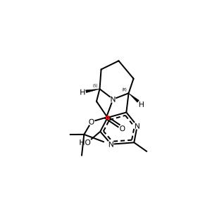 Cc1nc(O)c2c(n1)[C@H]1CCC[C@@H](C2)N1C(=O)OC(C)(C)C